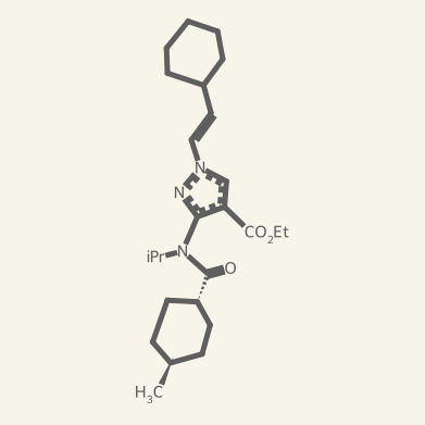 CCOC(=O)c1cn(C=CC2CCCCC2)nc1N(C(=O)[C@H]1CC[C@H](C)CC1)C(C)C